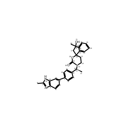 Cc1nc2ccc(-c3ccc([C@H](C)N4CCC(CC(C)(C)O)(c5ccccc5)OC4=O)cc3)cc2[nH]1